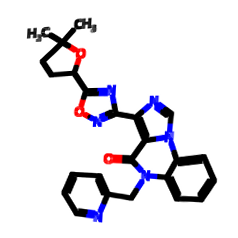 CC1(C)CCC(c2nc(-c3ncn4c3c(=O)n(Cc3ccccn3)c3ccccc34)no2)O1